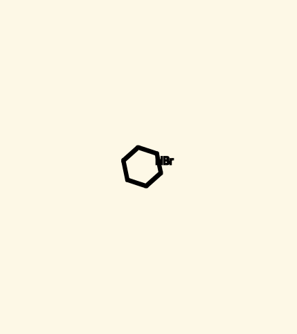 Br.C1CCCCC1